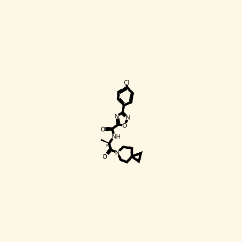 C[C@@H](NC(=O)c1nc(-c2ccc(Cl)cc2)no1)C(=O)N1CCC2(CC1)CC2